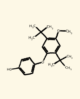 COc1cc(C(C)(C)C)c(Oc2ccc(O)cc2)cc1C(C)(C)C